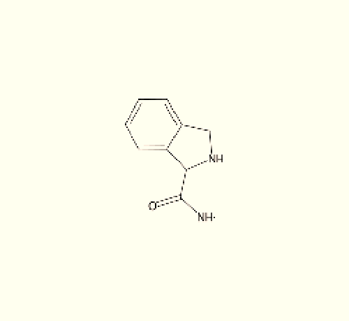 [NH]C(=O)C1NCc2ccccc21